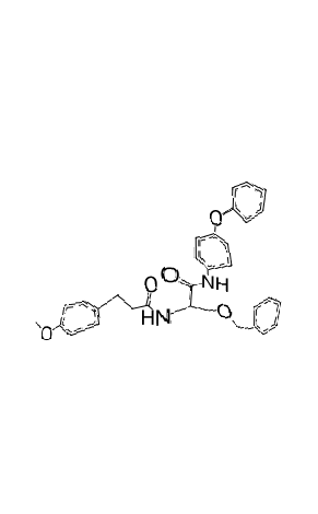 COc1ccc(CCC(=O)NC(COCc2ccccc2)C(=O)Nc2ccc(Oc3ccccc3)cc2)cc1